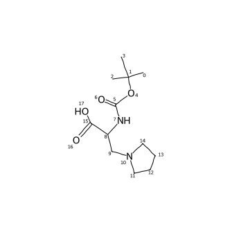 CC(C)(C)OC(=O)NC(CN1CCCC1)C(=O)O